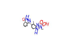 CCN(C(=O)O)c1nc2c(C)c(-c3n[nH]c(=O)c4ccccc34)ccc2[nH]1